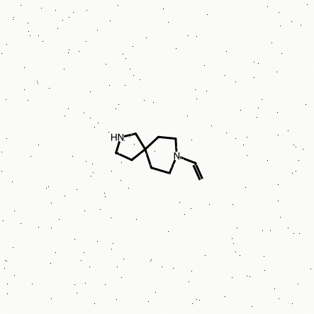 C=CN1CCC2(CCNC2)CC1